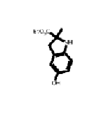 CCOC(=O)C1(C)Cc2cc(O)ccc2N1